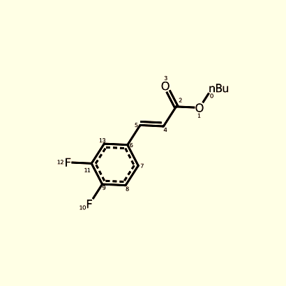 CCCCOC(=O)/C=C/c1ccc(F)c(F)c1